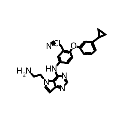 C#N.NCCn1ccc2ncnc(Nc3ccc(Oc4cccc(C5CC5)c4)c(Cl)c3)c21